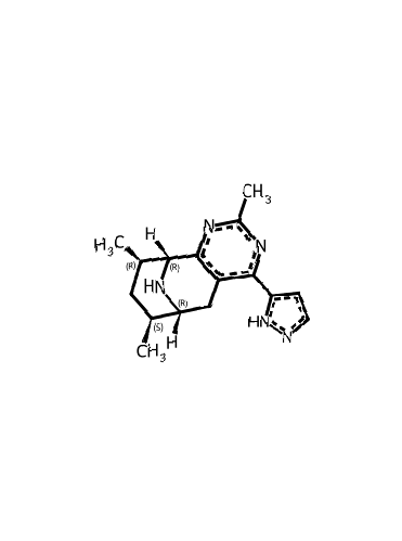 Cc1nc(-c2ccn[nH]2)c2c(n1)[C@@H]1N[C@H](C2)[C@@H](C)C[C@H]1C